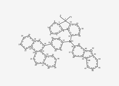 CC1(C)c2ccccc2-c2c(N(c3ccc(-c4cc5ccccc5c5ccc6ccccc6c45)cc3)c3ccc4c(c3)oc3ccccc34)cccc21